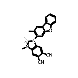 Cc1cc2c(cc1N1c3cc(C#N)c(C#N)cc3N(C)[C@@H]1C)oc1ccccc12